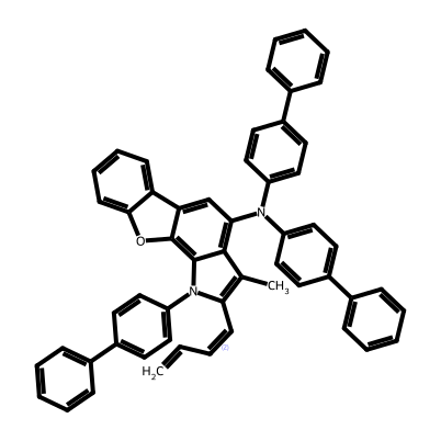 C=C/C=C\c1c(C)c2c(N(c3ccc(-c4ccccc4)cc3)c3ccc(-c4ccccc4)cc3)cc3c4ccccc4oc3c2n1-c1ccc(-c2ccccc2)cc1